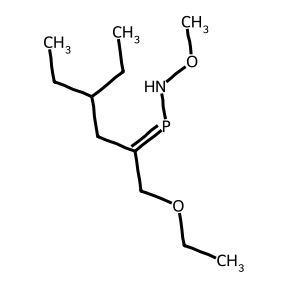 CCOCC(CC(CC)CC)=PNOC